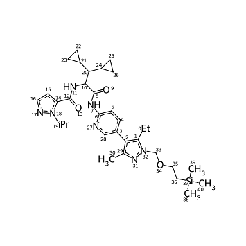 CCc1c(-c2ccc(NC(=O)C(NC(=O)c3ccnn3C(C)C)C(C3CC3)C3CC3)nc2)c(C)nn1COCC[Si](C)(C)C